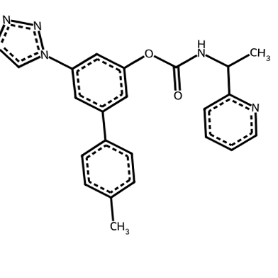 Cc1ccc(-c2cc(OC(=O)NC(C)c3ccccn3)cc(-n3cnnn3)c2)cc1